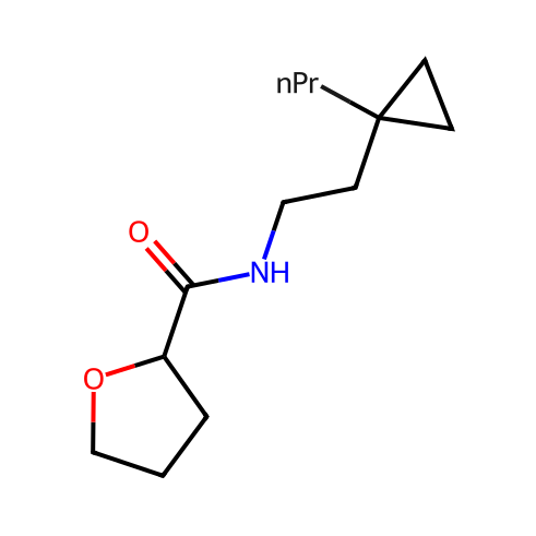 CCCC1(CCNC(=O)C2CCCO2)CC1